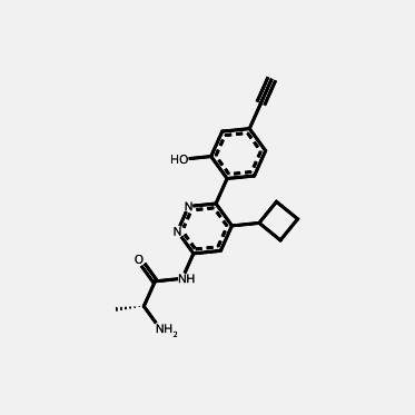 C#Cc1ccc(-c2nnc(NC(=O)[C@@H](C)N)cc2C2CCC2)c(O)c1